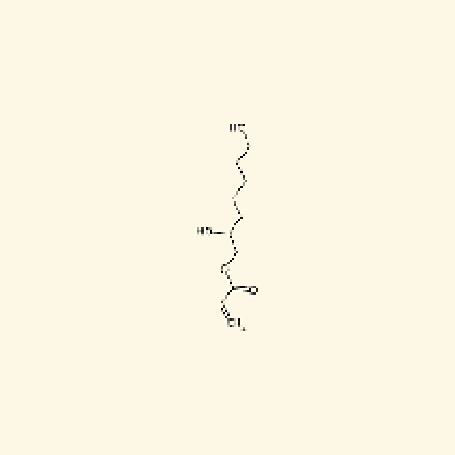 C=CC(=O)OCC(O)CCCCCO